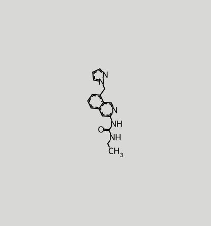 CCNC(=O)Nc1cc2cccc(Cn3cccn3)c2cn1